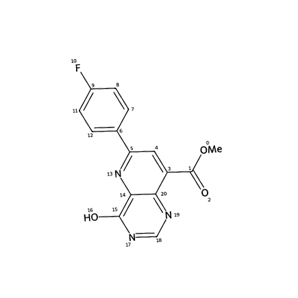 COC(=O)c1cc(-c2ccc(F)cc2)nc2c(O)ncnc12